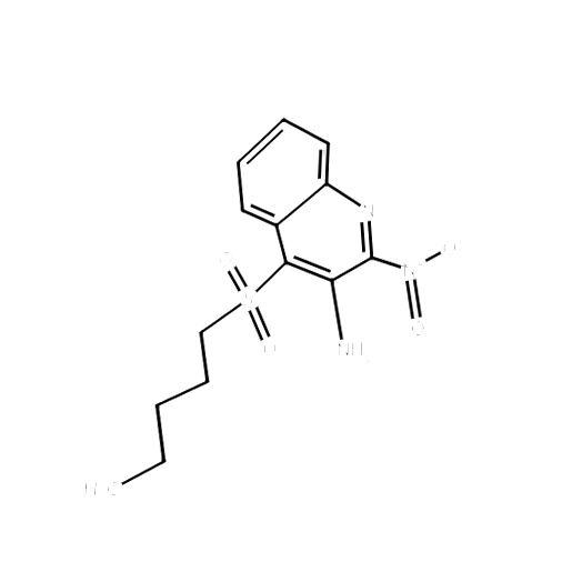 CCCCCS(=O)(=O)c1c(N)c([N+](=O)[O-])nc2ccccc12